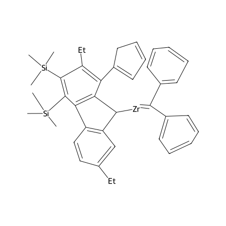 CCc1ccc2c(c1)[CH]([Zr]=[C](c1ccccc1)c1ccccc1)c1c(C3=CC=CC3)c(CC)c([Si](C)(C)C)c([Si](C)(C)C)c1-2